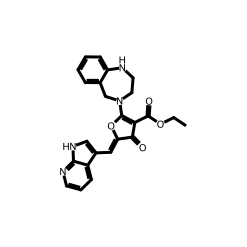 CCOC(=O)C1=C(N2CCNc3ccccc3C2)O/C(=C\c2c[nH]c3ncccc23)C1=O